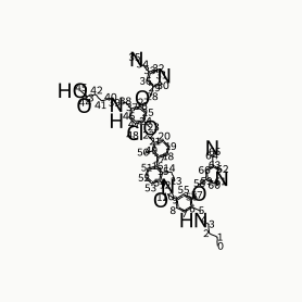 CCCCNCc1ccc(C(=O)N2CCc3c(-c4cccc(COc5cc(OCc6cncc(C#N)c6)c(CNCCCC(=O)O)cc5Cl)c4C)cccc32)cc1OCc1cncc(C#N)c1